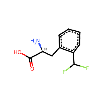 N[C@@H](Cc1ccccc1C(F)F)C(=O)O